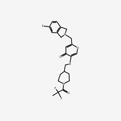 CC(F)(F)C(=O)N1CCC(COc2coc(CN3Cc4ccc(F)cc4C3)cc2=O)CC1